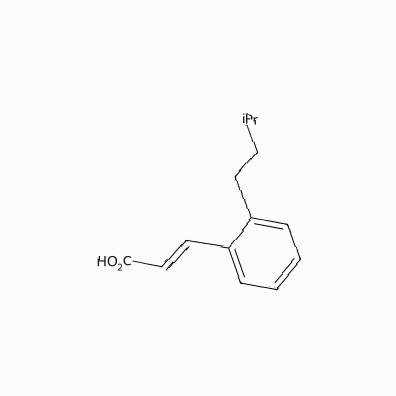 CC(C)CCc1ccccc1/C=C/C(=O)O